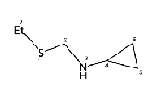 CCSCNC1CC1